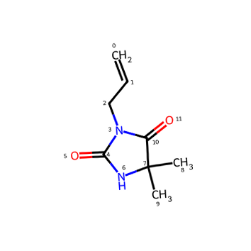 C=CCN1C(=O)NC(C)(C)C1=O